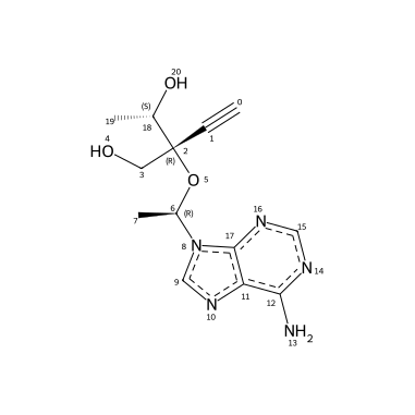 C#C[C@](CO)(O[C@H](C)n1cnc2c(N)ncnc21)[C@H](C)O